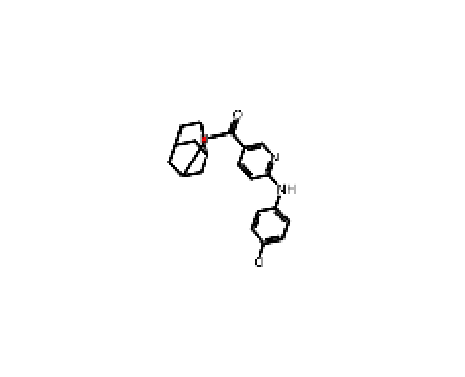 O=C(c1ccc(Nc2ccc(Cl)cc2)nc1)N1C2CC3CC(C2)CC1C3